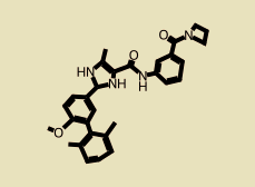 COc1ccc(C2NC(C)=C(C(=O)Nc3cccc(C(=O)N4CCC4)c3)N2)cc1-c1c(C)cccc1C